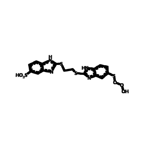 O=S(=O)(O)c1ccc2[nH]c(SCCSc3nc4cc(SOOO)ccc4[nH]3)nc2c1